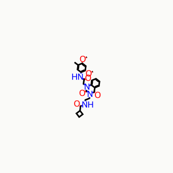 COc1cc(OC)c(NC(=O)Cn2c(=O)n(CCNC(=O)C3CCC3)c(=O)c3ccccc32)cc1C